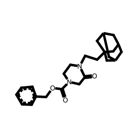 O=C1CN(C(=O)OCc2ccccc2)CCN1CCC12CC3CC(CC(C3)C1)C2